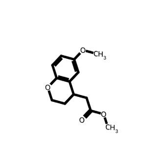 COC(=O)CC1CCOc2ccc(OC)cc21